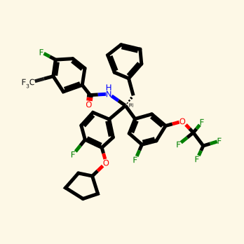 O=C(N[C@@](Cc1ccccc1)(c1cc(F)cc(OC(F)(F)C(F)F)c1)c1ccc(F)c(OC2CCCC2)c1)c1ccc(F)c(C(F)(F)F)c1